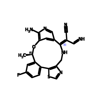 C[C@H]1Oc2cc(cnc2N)/C(=C(\C#N)C=N)NCc2ncsc2-c2ccc(F)cc21